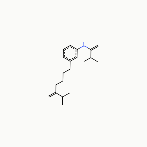 C=C(CCCCc1cccc(NC(=C)C(C)C)c1)C(C)C